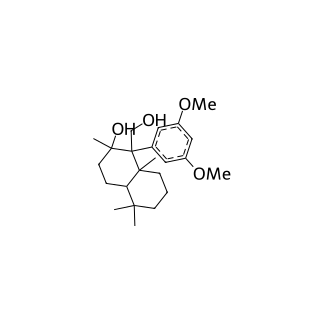 COc1cc(OC)cc(C2(CO)C(C)(O)CCC3C(C)(C)CCCC32C)c1